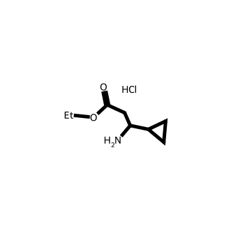 CCOC(=O)CC(N)C1CC1.Cl